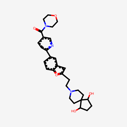 O=C(c1ccc(-c2ccc3oc(CCN4CCC5(CC4)C(O)CCC5O)cc3c2)nc1)N1CCOCC1